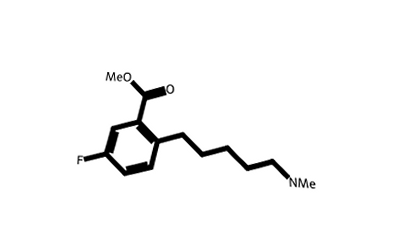 CNCCCCCc1ccc(F)cc1C(=O)OC